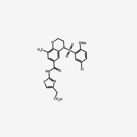 COc1ccc(Cl)cc1S(=O)(=O)N1CCOc2c(C)cc(C(=O)Nc3nc(CC(=O)O)cs3)cc21